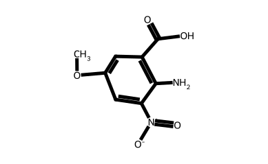 COc1cc(C(=O)O)c(N)c([N+](=O)[O-])c1